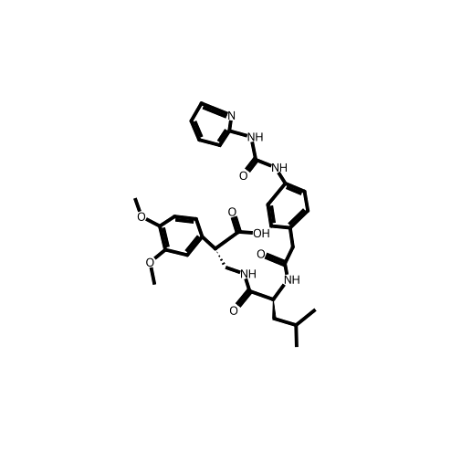 COc1ccc([C@@H](CNC(=O)[C@H](CC(C)C)NC(=O)Cc2ccc(NC(=O)Nc3ccccn3)cc2)C(=O)O)cc1OC